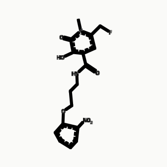 Cn1c(CF)cc(C(=O)NCCCOc2ccccc2[N+](=O)[O-])c(O)c1=O